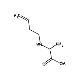 C=CCCNC(N)C(=O)O